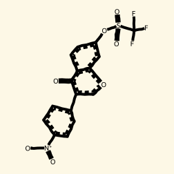 O=c1c(-c2ccc([N+](=O)[O-])cc2)coc2cc(OS(=O)(=O)C(F)(F)F)ccc12